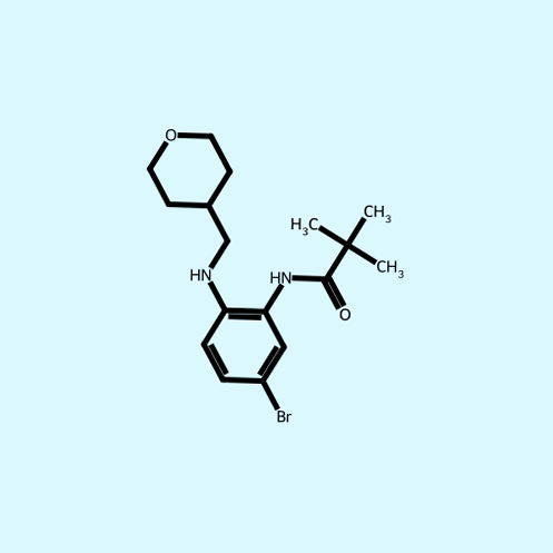 CC(C)(C)C(=O)Nc1cc(Br)ccc1NCC1CCOCC1